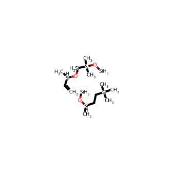 C=C[SiH](C)O[SiH2][Si](C)(C)O[SiH3].C[SiH](CC[Si](C)(C)C)O[SiH3]